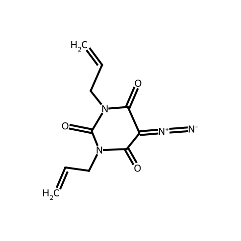 C=CCN1C(=O)C(=[N+]=[N-])C(=O)N(CC=C)C1=O